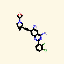 Nc1cc2c(N)nc(-c3cccc(Cl)c3F)nc2cc1C#CC12CC1CN(C1COC1)C2